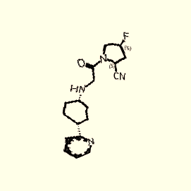 N#C[C@@H]1C[C@H](F)CN1C(=O)CN[C@H]1CC[C@@H](c2ccccn2)CC1